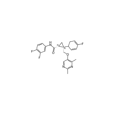 Cc1ncc(OC[C@@]2(C3C=CC(F)=CC3)C[C@H]2C(=O)Nc2ccc(F)c(F)c2)c(C)n1